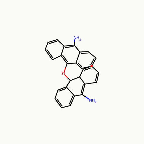 NC1=C2C=CC=CC2C(Oc2c3ccccc3c(N)c3ccccc23)c2ccccc21